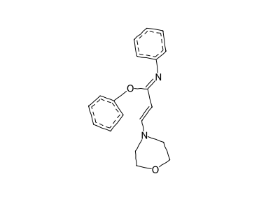 C(=CN1CCOCC1)C(=Nc1ccccc1)Oc1ccccc1